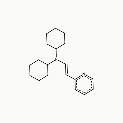 C(=CP(C1CCCCC1)C1CCCCC1)c1ccccn1